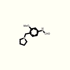 COc1cc(NC=O)ccc1CN1CCCC1